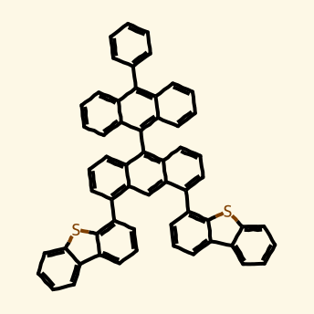 c1ccc(-c2c3ccccc3c(-c3c4cccc(-c5cccc6c5sc5ccccc56)c4cc4c(-c5cccc6c5sc5ccccc56)cccc34)c3ccccc23)cc1